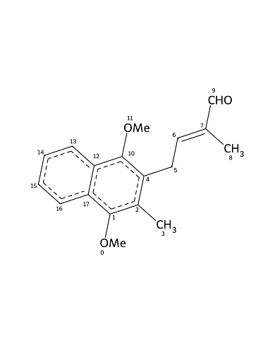 COc1c(C)c(C/C=C(\C)C=O)c(OC)c2ccccc12